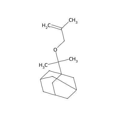 C=C(C)COC(C)(C)C12CC3CC(CC(C3)C1)C2